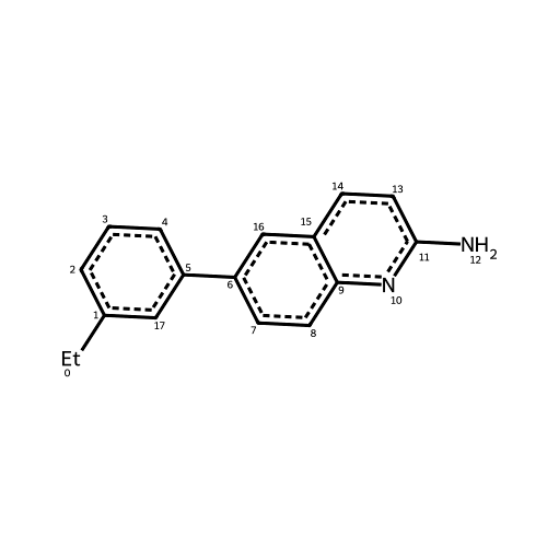 CCc1cccc(-c2ccc3nc(N)ccc3c2)c1